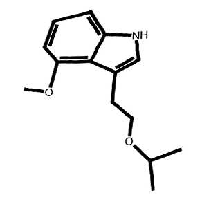 COc1cccc2[nH]cc(CCOC(C)C)c12